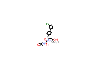 O=C(N[C@H](Cc1ccc(-c2cccc(Cl)c2)cc1)C[C@@H](O)C(=O)O)C(=O)N1CC2(COC2)C1